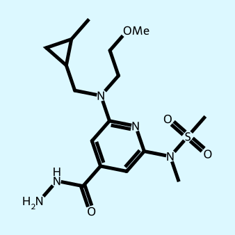 COCCN(CC1CC1C)c1cc(C(=O)NN)cc(N(C)S(C)(=O)=O)n1